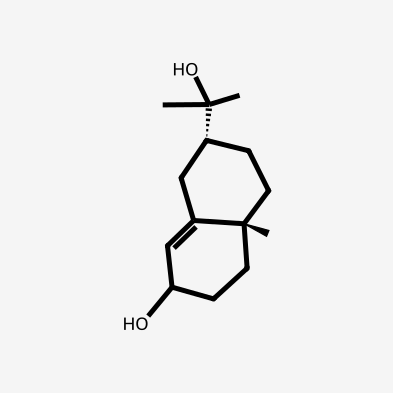 CC(C)(O)[C@@H]1CC[C@]2(C)CCC(O)C=C2C1